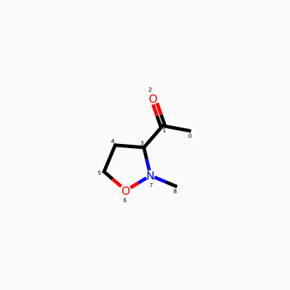 CC(=O)C1CCON1C